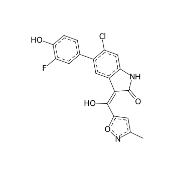 Cc1cc(C(O)=C2C(=O)Nc3cc(Cl)c(-c4ccc(O)c(F)c4)cc32)on1